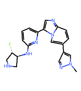 Cn1cc(-c2ccc3ncc(-c4cccc(N[C@H]5CNC[C@@H]5F)n4)n3c2)cn1